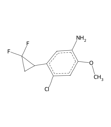 COc1cc(Cl)c(C2CC2(F)F)cc1N